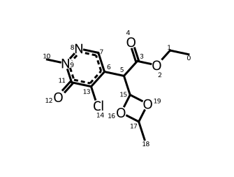 CCOC(=O)C(c1cnn(C)c(=O)c1Cl)C1OC(C)O1